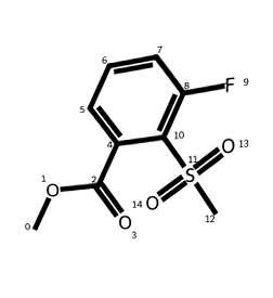 COC(=O)c1cccc(F)c1S(C)(=O)=O